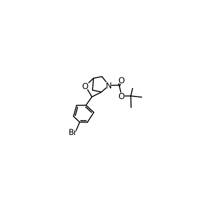 CC(C)(C)OC(=O)N1CC2CC1C(c1ccc(Br)cc1)O2